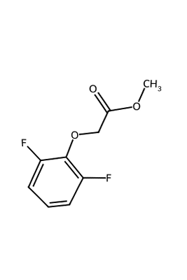 COC(=O)COc1c(F)cccc1F